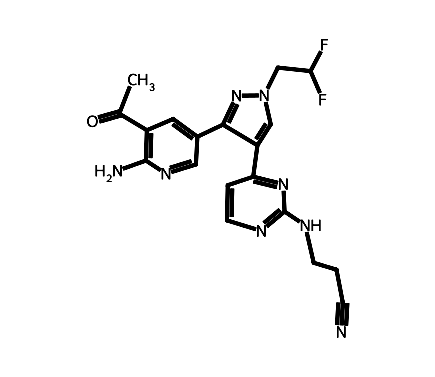 CC(=O)c1cc(-c2nn(CC(F)F)cc2-c2ccnc(NCCC#N)n2)cnc1N